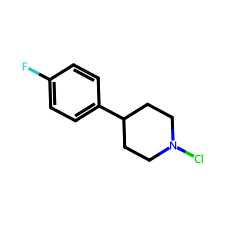 Fc1ccc(C2CCN(Cl)CC2)cc1